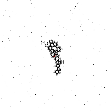 CC1(C)c2cccc3c2-c2c1ccc1c4ccccc4n(c21)-c1c(-c2ccc4ccc(Nc5ccc6c(c5)sc5ccccc56)cc4c2)cccc1-3